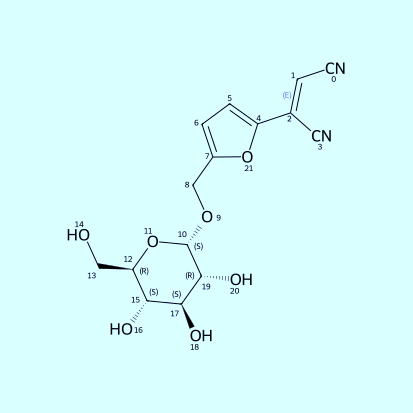 N#C/C=C(\C#N)c1ccc(CO[C@H]2O[C@H](CO)[C@@H](O)[C@H](O)[C@H]2O)o1